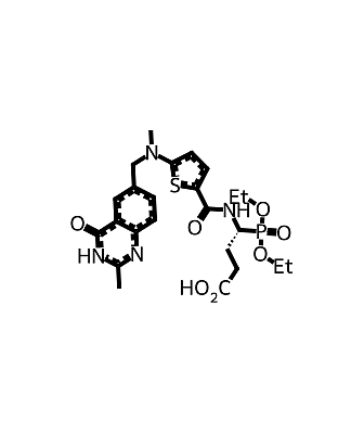 CCOP(=O)(OCC)[C@H](CCC(=O)O)NC(=O)c1ccc(N(C)Cc2ccc3nc(C)[nH]c(=O)c3c2)s1